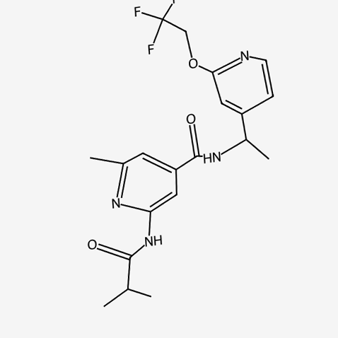 Cc1cc(C(=O)NC(C)c2ccnc(OCC(F)(F)F)c2)cc(NC(=O)C(C)C)n1